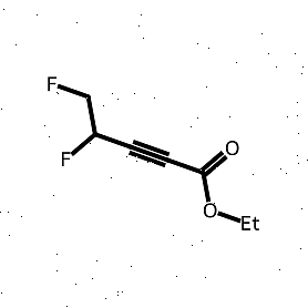 CCOC(=O)C#CC(F)CF